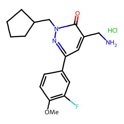 COc1ccc(-c2cc(CN)c(=O)n(CC3CCCC3)n2)cc1F.Cl